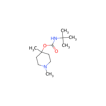 CN1CCC(C)(OC(=O)NC(C)(C)C)CC1